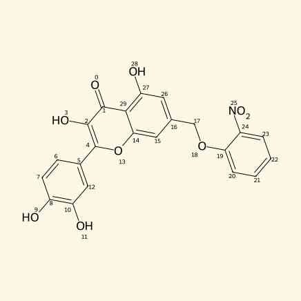 O=c1c(O)c(-c2ccc(O)c(O)c2)oc2cc(COc3ccccc3[N+](=O)[O-])cc(O)c12